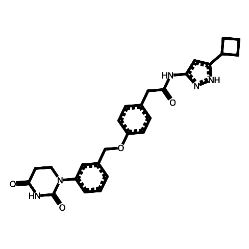 O=C1CCN(c2cccc(COc3ccc(CC(=O)Nc4cc(C5CCC5)[nH]n4)cc3)c2)C(=O)N1